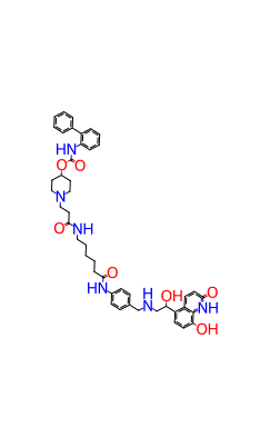 O=C(CCN1CCC(OC(=O)Nc2ccccc2-c2ccccc2)CC1)NCCCCCC(=O)Nc1ccc(CNCC(O)c2ccc(O)c3[nH]c(=O)ccc23)cc1